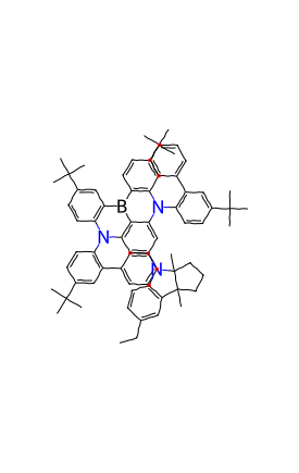 CCc1ccc2c(c1)C1(C)CCCC1(C)N2c1cc2c3c(c1)N(c1ccc(C(C)(C)C)cc1-c1ccccc1)c1cc(C(C)(C)C)ccc1B3c1cc(C(C)(C)C)ccc1N2c1ccc(C(C)(C)C)cc1-c1ccccc1